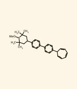 CON1C(C)(C)CC(c2ccc(-c3ccc(C4C=CC=CC=C4)cc3)cc2)CC1(C)C